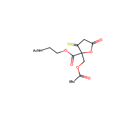 CC(=O)NCCOC(=O)C1(COC(=O)C(C)(C)C)OC(=O)CC1=S